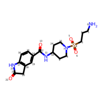 NCCCS(=O)(=O)N1CCC(NC(=O)c2ccc3c(c2)CC(=O)N3)CC1